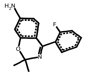 CC1(C)N=C(c2ccccc2F)c2ccc(N)cc2O1